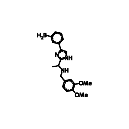 Bc1cccc(-c2c[nH]c(C(C)NCc3ccc(OC)c(OC)c3)n2)c1